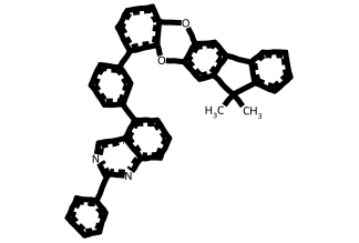 CC1(C)c2ccccc2-c2cc3c(cc21)Oc1c(cccc1-c1cccc(-c2cccc4nc(-c5ccccc5)ncc24)c1)O3